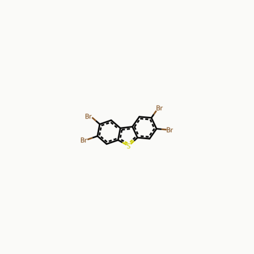 Brc1cc2sc3cc(Br)c(Br)cc3c2cc1Br